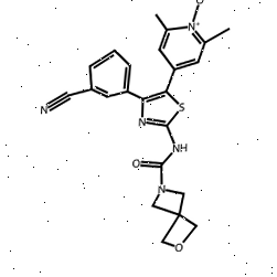 Cc1cc(-c2sc(NC(=O)N3CC4(COC4)C3)nc2-c2cccc(C#N)c2)cc(C)[n+]1[O-]